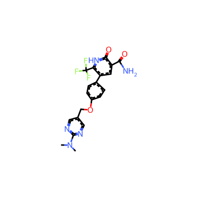 CN(C)c1ncc(COc2ccc(-c3cc(C(N)=O)c(=O)[nH]c3C(F)(F)F)cc2)cn1